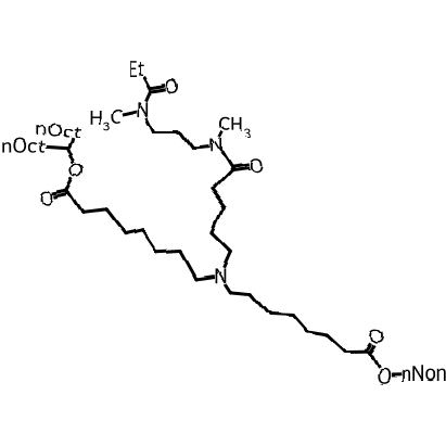 CCCCCCCCCOC(=O)CCCCCCCN(CCCCCCCC(=O)OC(CCCCCCCC)CCCCCCCC)CCCCC(=O)N(C)CCCN(C)C(=O)CC